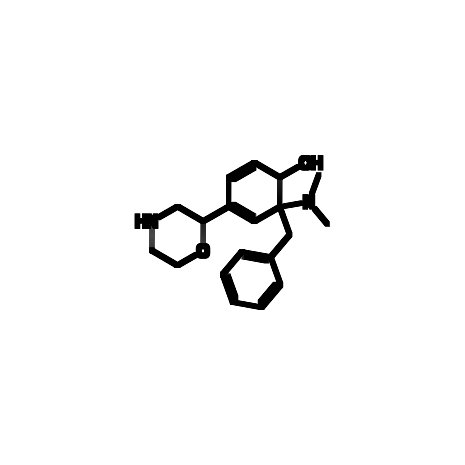 CN(C)C1(Cc2ccccc2)C=C(C2CNCCO2)C=CC1O